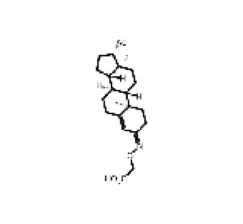 CC(=O)[C@H]1CC[C@H]2[C@@H]3CCC4=CC(=NOCC(=O)O)CC[C@]4(C)[C@H]3CC[C@]12C